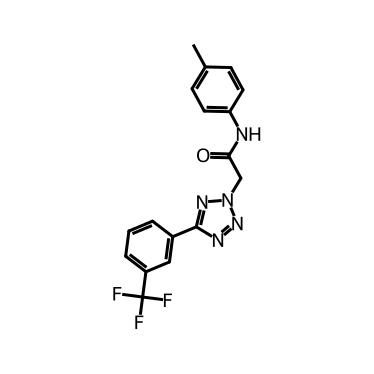 Cc1ccc(NC(=O)Cn2nnc(-c3cccc(C(F)(F)F)c3)n2)cc1